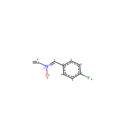 CC(C)(C)/[N+]([O-])=C/c1ccc(F)cc1